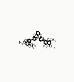 CC1(C)CCC(C)(C)c2cc(-c3ccc4c(n3)Oc3cccc5c3B4c3ccc(-c4ccc6c(c4)C(C)(C)CCC6(C)C)nc3O5)ccc21